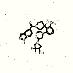 Cc1cccc(N(C=O)CC(=O)N2CC(O)C(F)(F)C2)c1C1(C)CCN(C(=O)c2ccc3[nH]ncc3c2)CC1